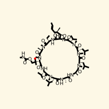 C/C=C/C[C@@H](C)[C@H]1ON2C(=O)[C@H](C(C)C)N(C)C(=O)[C@H](CC(C)C)N(C)C(=O)[C@H](CC(C)C)N(C)C(=O)[C@@H](C)NC(=O)[C@H](C)NC(=O)[C@H](CC(C)C)N(C)C(=O)[C@H](C(C)C)NC(=O)[C@H](C(C)(C)COC(=O)NC)N(C)C(=O)[C@@H](C)N(C)C(=O)[C@H](CC)NC(=O)[C@H]12